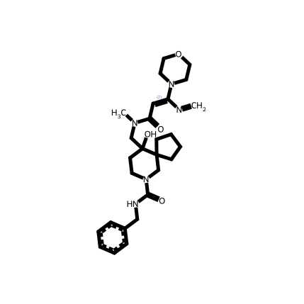 C=N/C(=C\C(=O)N(C)CC1(O)CCN(C(=O)NCc2ccccc2)CC12CCCC2)N1CCOCC1